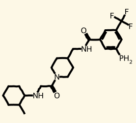 CC1CCCCC1NCC(=O)N1CCC(CNC(=O)c2cc(P)cc(C(F)(F)F)c2)CC1